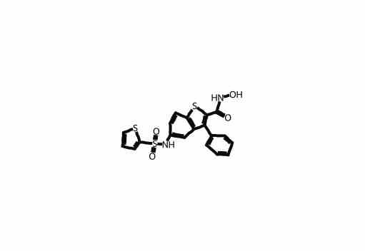 O=C(NO)c1sc2ccc(NS(=O)(=O)c3cccs3)cc2c1-c1ccccc1